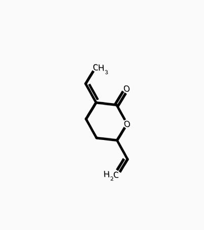 C=CC1CCC(=CC)C(=O)O1